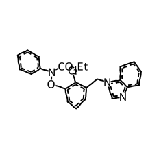 CCOC(=O)N(Oc1cccc(Cn2cnc3ccccc32)c1Cl)c1ccccc1